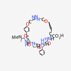 CN[C@@H](C)C(=O)N[C@H]1Cc2ccc(cc2)OCc2cn(nn2)CCOc2ccc(cc2)C[C@@H](C(=O)O)NC(=O)[C@H](CCc2ccccc2)NC(=O)[C@@H]2CCCN2C1=O